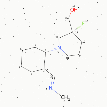 C/N=C/C1CCCC[C@@H]1N1CCC[C@](F)(CO)C1